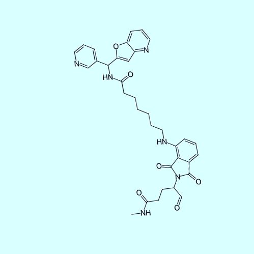 CNC(=O)CCC(C=O)N1C(=O)c2cccc(NCCCCCCC(=O)NC(c3cccnc3)c3cc4ncccc4o3)c2C1=O